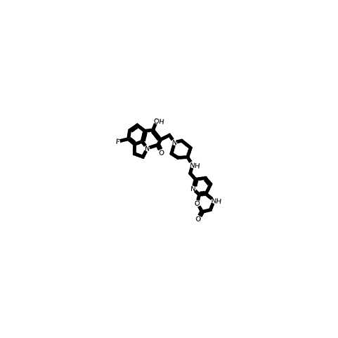 O=C1CNc2ccc(CNC3CCN(Cc4c(O)c5ccc(F)c6c5n(c4=O)CC6)CC3)nc2O1